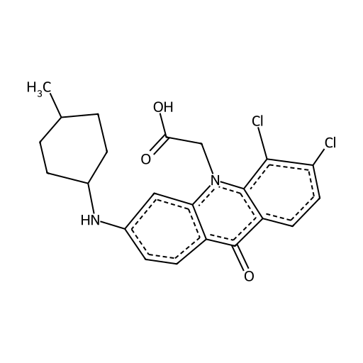 CC1CCC(Nc2ccc3c(=O)c4ccc(Cl)c(Cl)c4n(CC(=O)O)c3c2)CC1